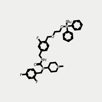 CN1CCC(N(Cc2ccc(F)cc2F)C(=O)NCc2ccc(COCCO[Si](c3ccccc3)(c3ccccc3)C(C)(C)C)c(F)c2)CC1